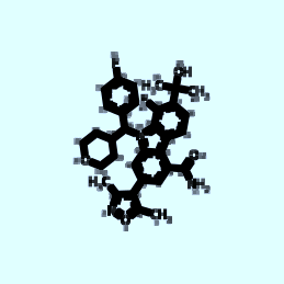 Cc1noc(C)c1-c1cc(C(N)=O)c2c3ccc(C(C)(C)O)c(F)c3n(C(c3ccc(F)cc3)C3CCOCC3)c2c1